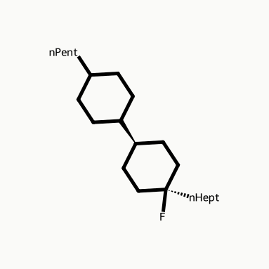 CCCCCCC[C@]1(F)CC[C@@H](C2CCC(CCCCC)CC2)CC1